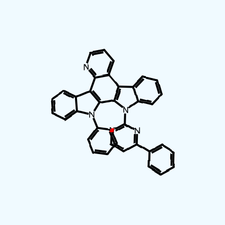 c1ccc(-c2ccnc(-n3c4ccccc4c4c5cccnc5c5c6ccccc6n(-c6ccccc6)c5c43)n2)cc1